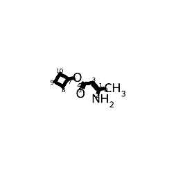 CC(N)=CC(=O)OC1CCC1